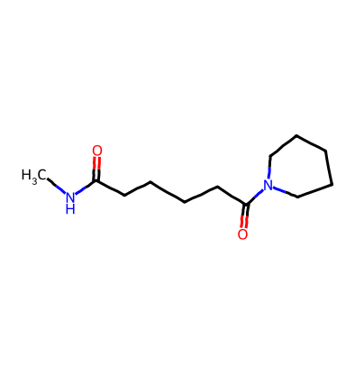 CNC(=O)CCCCC(=O)N1CCCCC1